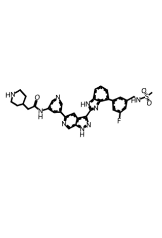 CS(=O)(=O)NCc1cc(F)cc(-c2cccc3[nH]c(-c4n[nH]c5cnc(-c6cncc(NC(=O)CC7CCNCC7)c6)cc45)nc23)c1